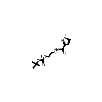 CC(C)(C)OC(=O)NCCONC(=O)c1cc[nH]n1